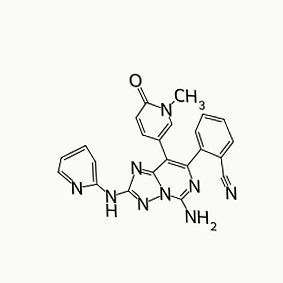 Cn1cc(-c2c(-c3ccccc3C#N)nc(N)n3nc(Nc4ccccn4)nc23)ccc1=O